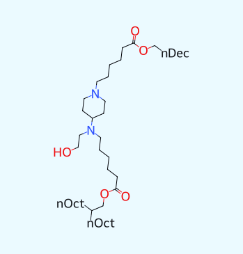 CCCCCCCCCCCOC(=O)CCCCCN1CCC(N(CCO)CCCCCC(=O)OCC(CCCCCCCC)CCCCCCCC)CC1